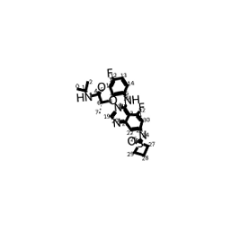 CC(C)NC(=O)[C@@H](C)Oc1cc(F)ccc1Nc1ncnc2cc(N=S3(=O)CCC3)cc(F)c12